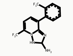 NC1N=C2C(c3ccccc3C(F)(F)F)=CC=C(C(F)(F)F)N2N1